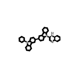 C1=CC2=NC=C(n3c4ccccc4c4cc(-c5ccc6c(c5)c5ccccc5n6-c5ccccc5)ccc43)NC2C=C1